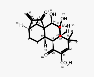 C=C1C(=O)[C@]23[C@H](C)[C@H]1CC[C@H]2[C@@]12CO[C@]3(O)[C@@H](O)[C@@H]1C(C)(C)C=C(C(=O)O)C2=O